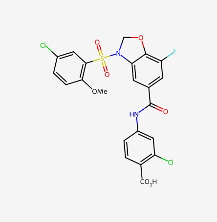 COc1ccc(Cl)cc1S(=O)(=O)N1COc2c(F)cc(C(=O)Nc3ccc(C(=O)O)c(Cl)c3)cc21